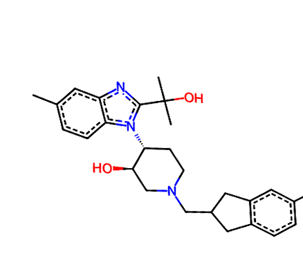 Cc1ccc2c(c1)CC(CN1CC[C@@H](n3c(C(C)(C)O)nc4cc(C)ccc43)[C@H](O)C1)C2